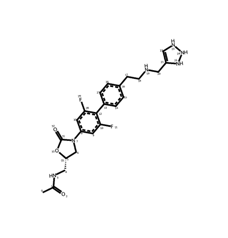 CC(=O)NC[C@H]1CN(c2cc(F)c(-c3ccc(CCNCC4=CNNN4)cc3)c(F)c2)C(=O)O1